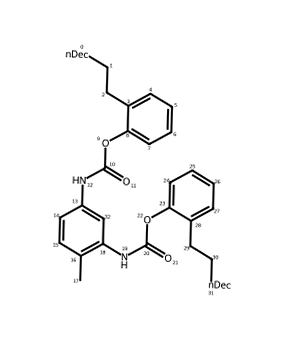 CCCCCCCCCCCCc1ccccc1OC(=O)Nc1ccc(C)c(NC(=O)Oc2ccccc2CCCCCCCCCCCC)c1